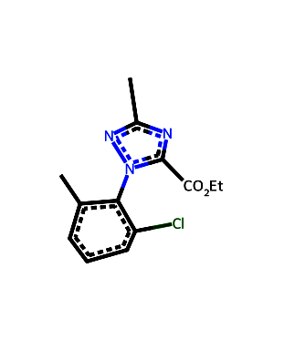 CCOC(=O)c1nc(C)nn1-c1c(C)cccc1Cl